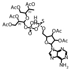 CC(=O)OCC(OC(OP(=O)(O)OP(O)(=S)OCC1OC(n2cnc3c(N)ncnc32)C(OC(C)=O)C1OC(C)=O)[C@@H](COC(C)=O)OC(C)=O)[C@H](C)OC(C)=O